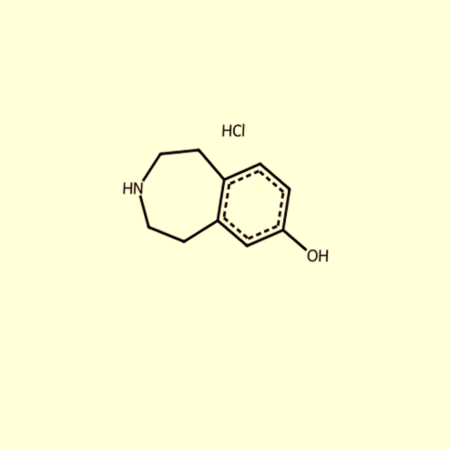 Cl.Oc1ccc2c(c1)CCNCC2